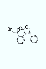 O=C(CBr)c1ccccc1N1C(=O)OC[C@@H]1c1ccccc1